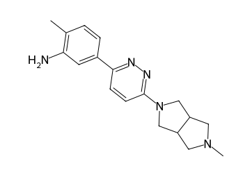 Cc1ccc(-c2ccc(N3CC4CN(C)CC4C3)nn2)cc1N